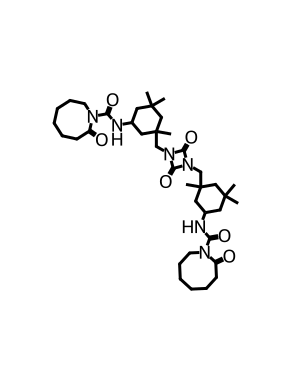 CC1(C)CC(NC(=O)N2CCCCCCC2=O)CC(C)(CN2C(=O)N(CC3(C)CC(NC(=O)N4CCCCCCC4=O)CC(C)(C)C3)C2=O)C1